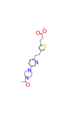 COC(=O)CCc1cc(CCc2ccc(N3CCN(C(C)=O)CC3)cn2)cs1